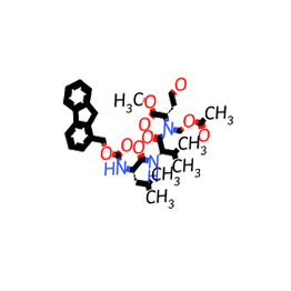 COC(=O)[C@H](CC=O)N(COC(C)=O)C(=O)[C@@H](NC(=O)[C@H](CC(C)C)NC(=O)OCc1cccc2c1Cc1ccccc1-2)C(C)C